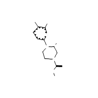 Cc1nc(N2CCN(C(=O)OC(C)(C)C)C[C@@H]2C)ccc1F